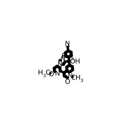 COc1cccc(-c2cc(=O)n(C)c3ccc([C@](O)(c4ccc(C#N)cc4)c4cncn4C)cc23)n1